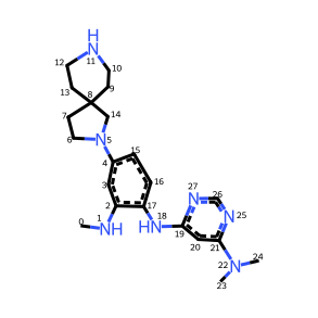 CNc1cc(N2CCC3(CCNCC3)C2)ccc1Nc1cc(N(C)C)ncn1